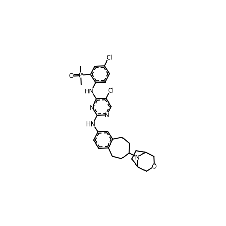 CP(C)(=O)c1cc(Cl)ccc1Nc1nc(Nc2ccc3c(c2)CCC(N2C4CCC2COC4)CC3)ncc1Cl